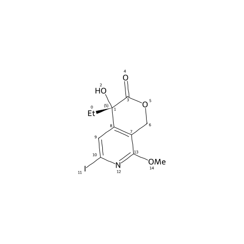 CC[C@@]1(O)C(=O)OCc2c1cc(I)nc2OC